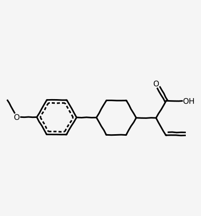 C=CC(C(=O)O)C1CCC(c2ccc(OC)cc2)CC1